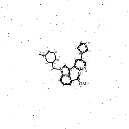 COC(=O)c1cccc2c1c(-c1cncc(-c3ccsc3)c1)cn2CC1CCCN(C)C1